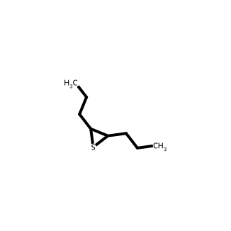 CCCC1SC1CCC